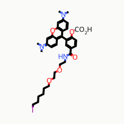 CN(C)c1ccc2c(-c3cc(C(=O)NCCOCCOCCCCCCI)ccc3OC(=O)O)c3ccc(=[N+](C)C)cc-3oc2c1